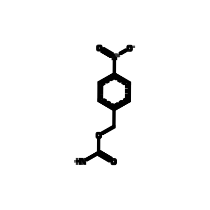 [NH]C(=O)OCc1ccc([N+](=O)[O-])cc1